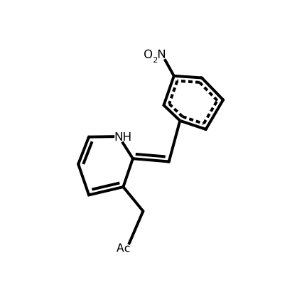 CC(=O)CC1=CC=CNC1=Cc1cccc([N+](=O)[O-])c1